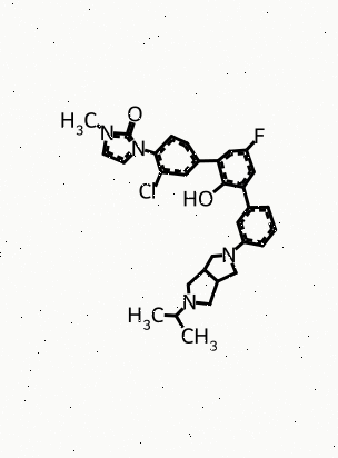 CC(C)N1CC2CN(c3cccc(-c4cc(F)cc(-c5ccc(-n6ccn(C)c6=O)c(Cl)c5)c4O)c3)CC2C1